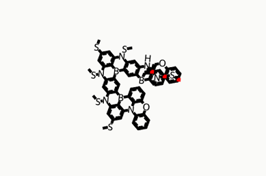 CSc1cc2c3c(c1)N(SC)c1cc4c(cc1B3c1cc3c(cc1N2SC)Nc1cc(SC)cc2c1B3c1cccc3c1N2c1ccccc1O3)B1c2cccc3c2N(c2ccccc2O3)c2cc(SC)cc(c21)N4SC